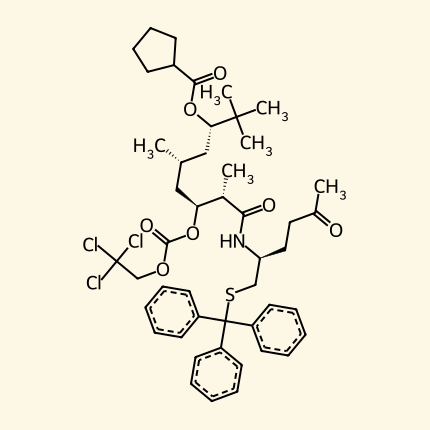 CC(=O)CC[C@@H](CSC(c1ccccc1)(c1ccccc1)c1ccccc1)NC(=O)[C@@H](C)[C@H](C[C@H](C)C[C@H](OC(=O)C1CCCC1)C(C)(C)C)OC(=O)OCC(Cl)(Cl)Cl